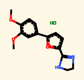 COc1ccc(-c2ccc(C3=NCCN3)o2)cc1OC.Cl